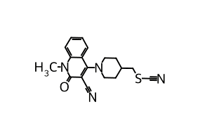 Cn1c(=O)c(C#N)c(N2CCC(CSC#N)CC2)c2ccccc21